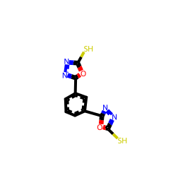 Sc1nnc(-c2cccc(-c3nnc(S)o3)c2)o1